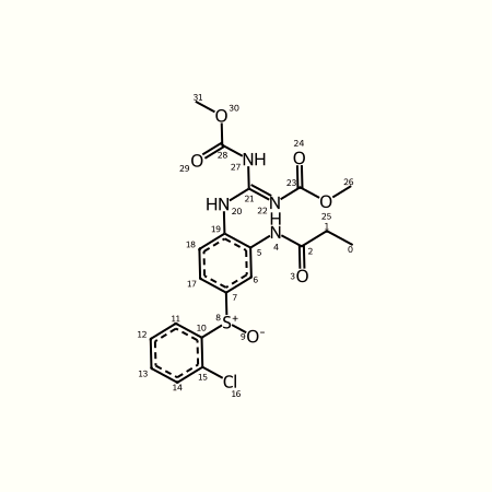 CCC(=O)Nc1cc([S+]([O-])c2ccccc2Cl)ccc1NC(=NC(=O)OC)NC(=O)OC